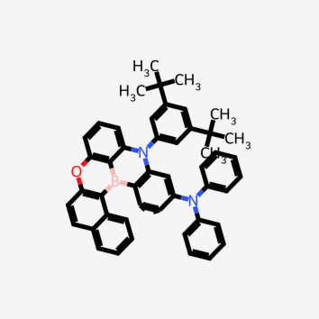 CC(C)(C)c1cc(N2c3cccc4c3B(c3c(ccc5ccccc35)O4)c3c2cc(N(c2ccccc2)c2ccccc2)c2ccccc32)cc(C(C)(C)C)c1